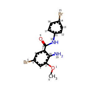 COc1cc(Br)cc(C(=O)Nc2ccc(Br)cc2)c1N